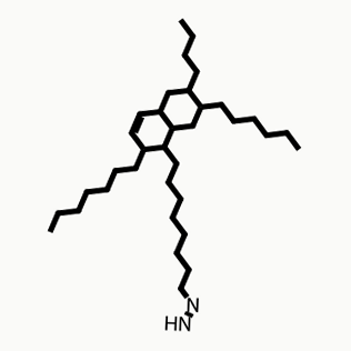 CCCCCCCC1C=CC2CC(CCCC)C(CCCCCC)CC2C1CCCCCCCCN=N